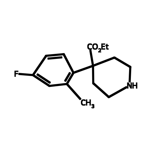 CCOC(=O)C1(c2ccc(F)cc2C)CCNCC1